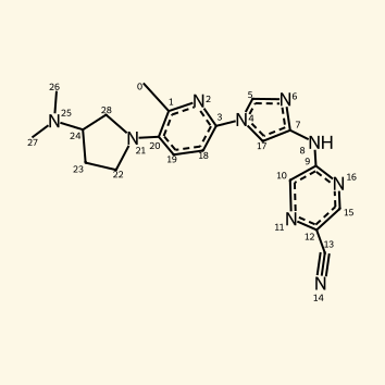 Cc1nc(-n2cnc(Nc3cnc(C#N)cn3)c2)ccc1N1CCC(N(C)C)C1